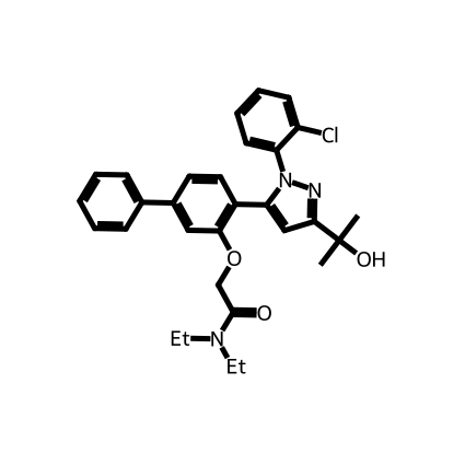 CCN(CC)C(=O)COc1cc(-c2ccccc2)ccc1-c1cc(C(C)(C)O)nn1-c1ccccc1Cl